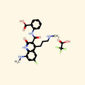 CNCCCc1c(C(=O)Nc2ccccc2C(=O)O)c(=O)[nH]c2c(NC)cc(F)cc12.O=C(O)C(F)(F)F